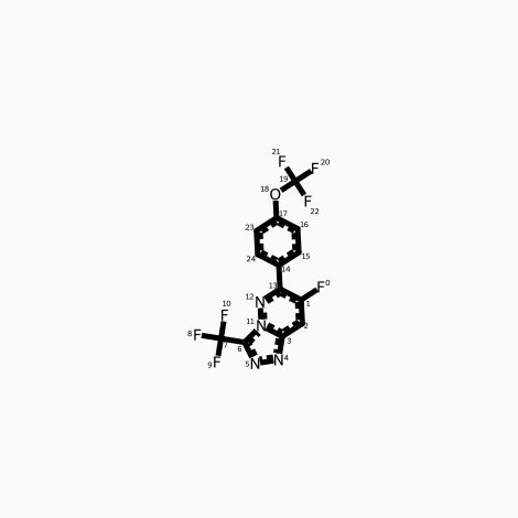 Fc1cc2nnc(C(F)(F)F)n2nc1-c1ccc(OC(F)(F)F)cc1